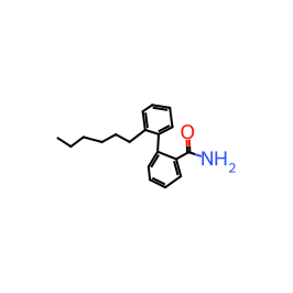 CCCCCCc1ccccc1-c1ccccc1C(N)=O